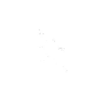 O=C1C=C2C(=O)CC(=O)NC2=CC1